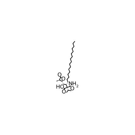 CCCCCCCCCCCCCCCCC[C@@H](C[C@H]1OC(=O)[C@@H]1C)[C@@](C(N)=O)(C(=O)O)C(C)C